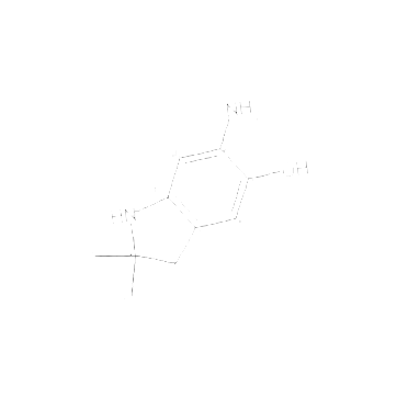 CC1(C)Cc2cc(O)c(N)cc2N1